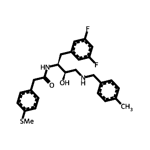 CSc1ccc(CC(=O)N[C@@H](Cc2cc(F)cc(F)c2)[C@H](O)CNCc2ccc(C)cc2)cc1